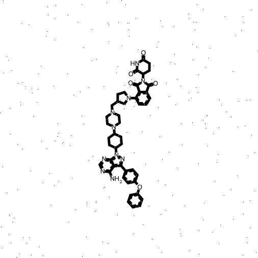 Nc1ncnc2c1c(-c1ccc(Oc3ccccc3)cc1)nn2C1CCC(N2CCN(CC3CCN(c4cccc5c4C(=O)N(C4CCC(=O)NC4=O)C5=O)C3)CC2)CC1